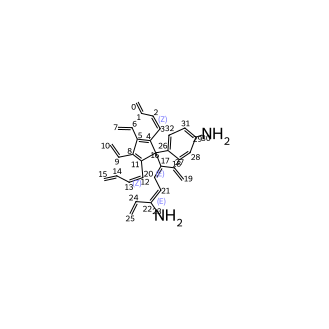 C=C/C=C\C1=C(C=C)C(C=C)=C(/C=C\C=C)C1(/C(C=C)=C/C=C(/N)C=C)c1ccc(N)cc1